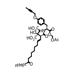 CC#CCOc1ccc(C[C@H](NC(=O)[C@@H](/C=C/CCCCCCC(=O)CCCCCCC)[C@@](O)(CC(=O)O)C(=O)O)C(=O)OCOC(C)=O)cc1